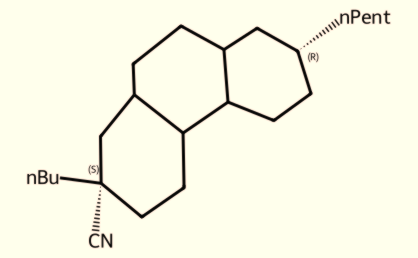 CCCCC[C@@H]1CCC2C(CCC3C[C@](C#N)(CCCC)CCC32)C1